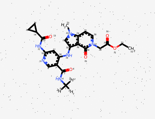 [2H]C([2H])([2H])NC(=O)c1cnc(NC(=O)C2CC2)cc1Nc1cn(C)c2ccn(CC(=O)OCC)c(=O)c12